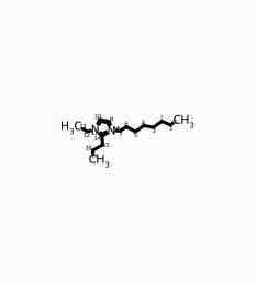 CCCCCCCC[n+]1ccn(CC)c1CCC